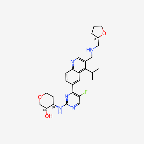 CC(C)c1c(CNC[C@H]2CCCO2)cnc2ccc(-c3nc(N[C@@H]4CCOC[C@H]4O)ncc3F)cc12